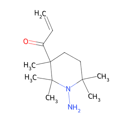 C=CC(=O)C1(C)CCC(C)(C)N(N)C1(C)C